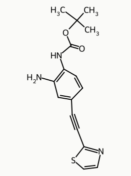 CC(C)(C)OC(=O)Nc1ccc(C#Cc2nccs2)cc1N